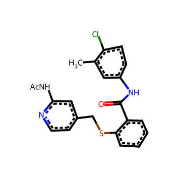 CC(=O)Nc1cc(CSc2ccccc2C(=O)Nc2ccc(Cl)c(C)c2)ccn1